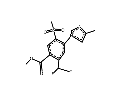 COC(=O)c1cc(S(C)(=O)=O)c(-n2cnc(C)c2)cc1C(F)F